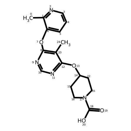 Cc1ncccc1Oc1ncnc(OC2CCN(C(=O)O)CC2)c1C